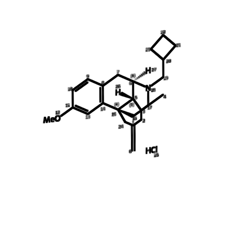 C=C1CC(C)[C@H]2[C@H]3Cc4ccc(OC)cc4[C@@]2(CCN3CC2CCC2)C1.Cl